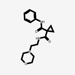 O=C(NCCN1CCOCC1)C1(C(=O)Nc2ccccc2)CC1